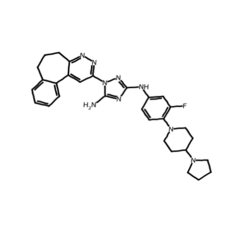 Nc1nc(Nc2ccc(N3CCC(N4CCCC4)CC3)c(F)c2)nn1-c1cc2c(nn1)CCCc1ccccc1-2